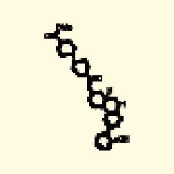 COC(=O)[C@H]1CC[C@@H](N2CCN(C(=O)CN3CCN4c5cc(-c6ccccc6O)nnc5NC[C@H]4C3)CC2)CC1